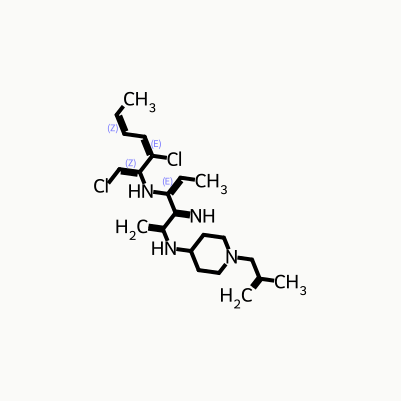 C=C(C)CN1CCC(NC(=C)C(=N)/C(=C\C)NC(=C\Cl)/C(Cl)=C\C=C/C)CC1